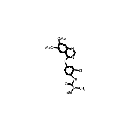 CCCCN(C)C(=O)Nc1ccc(Oc2ncnc3cc(OC)c(OC)cc23)cc1Cl